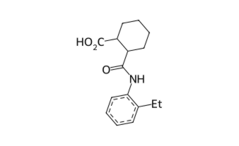 CCc1ccccc1NC(=O)C1CCCCC1C(=O)O